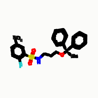 CC(C)(C)[Si](OCCCNS(=O)(=O)c1cc([N+](=O)[O-])ccc1F)(c1ccccc1)c1ccccc1